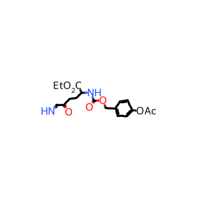 CCOC(=O)C(CCC(=O)C=N)NC(=O)OCc1ccc(OC(C)=O)cc1